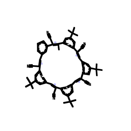 C/C1=C(/C#N)c2cccc(c2)/C=C(\C#N)c2cc(cc(C(C)(C)C)c2)/C=C(\C#N)c2cc(cc(C(C)(C)C)c2)/C=C(\C#N)c2cc(cc(C(C)(C)C)c2)/C=C(\C#N)c2cc1cc(C(C)(C)C)c2